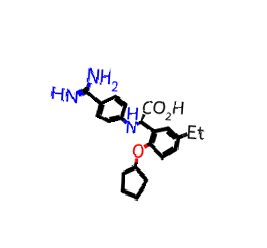 CCc1ccc(OC2CCCC2)c([C@@H](Nc2ccc(C(=N)N)cc2)C(=O)O)c1